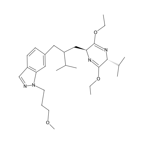 CCOC1=N[C@H](C(C)C)C(OCC)=N[C@H]1CC(Cc1ccc2cnn(CCCOC)c2c1)C(C)C